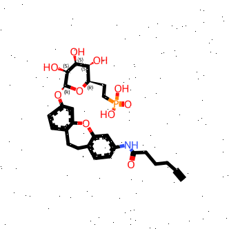 C#CCCCC(=O)Nc1ccc2c(c1)Oc1cc(O[C@H]3O[C@H](CCP(=O)(O)O)[C@@H](O)[C@H](O)[C@@H]3O)ccc1CC2